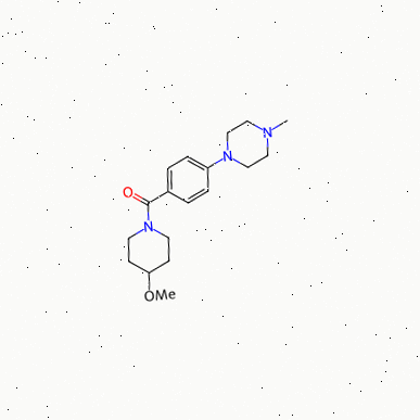 COC1CCN(C(=O)c2ccc(N3CCN(C)CC3)cc2)CC1